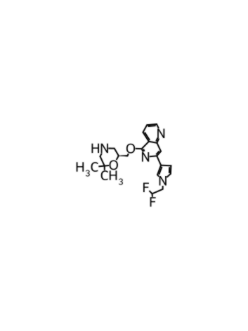 CC1(C)CNC[C@@H](COc2nc(-c3ccn(CC(F)F)c3)cc3ncccc23)O1